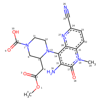 COC(=O)CC1CN(C(=O)O)CCN1c1c(N)c(=O)n(C)c2ccc(C#N)nc12